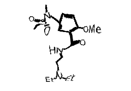 CCN(CC)CCNC(=O)c1cc(N(C)S(C)(=O)=O)ccc1OC